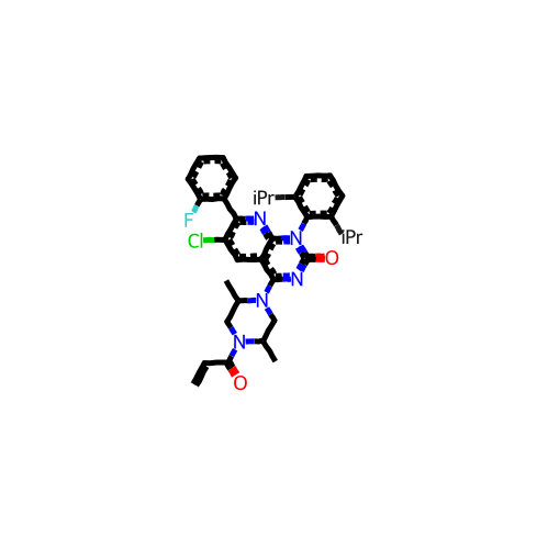 C=CC(=O)N1CC(C)N(c2nc(=O)n(-c3c(C(C)C)cccc3C(C)C)c3nc(-c4ccccc4F)c(Cl)cc23)CC1C